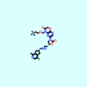 Cc1ncc(F)c2c1C[C@@H](CNCC[C@@H]1CN(c3cnc4c(n3)N(COCC[Si](C)(C)C)C(=O)CO4)C(=O)O1)C2